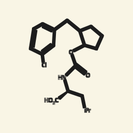 CC(C)C[C@H](NC(=O)OC1CCCC1Cc1cccc(Cl)c1)C(=O)O